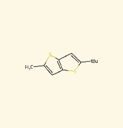 Cc1cc2sc(C(C)(C)C)cc2s1